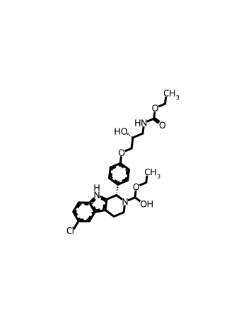 CCOC(=O)NC[C@@H](O)COc1ccc([C@H]2c3[nH]c4ccc(Cl)cc4c3CCN2C(O)OCC)cc1